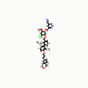 Cc1c(COc2cc(OCc3cncc(C#N)c3)c(C=O)cc2Cl)cccc1-c1cccc(OCCCN2CCC3(CCOCC3)C2)c1C